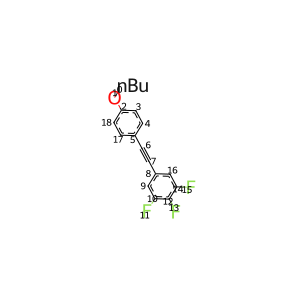 CCCCOc1ccc(C#Cc2cc(F)c(F)c(F)c2)cc1